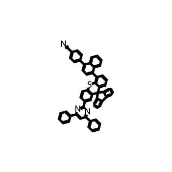 N#Cc1ccc(-c2ccc(-c3cccc4c3Sc3ccc(-c5nc(-c6ccccc6)cc(-c6ccccc6)n5)cc3C43c4ccccc4-c4ccccc43)c3ccccc23)cc1